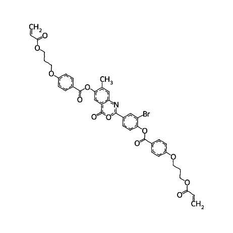 C=CC(=O)OCCCOc1ccc(C(=O)Oc2cc3c(=O)oc(-c4ccc(OC(=O)c5ccc(OCCCOC(=O)C=C)cc5)c(Br)c4)nc3cc2C)cc1